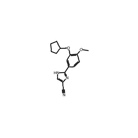 COc1ccc(-c2nc(C#N)c[nH]2)cc1OC1CCCC1